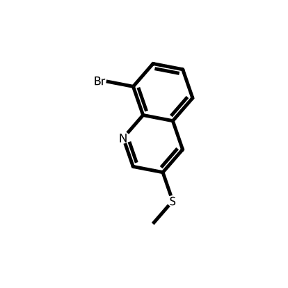 CSc1cnc2c(Br)cccc2c1